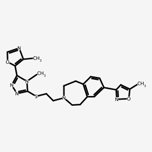 Cc1cc(-c2ccc3c(c2)CCN(CCSc2nnc(-c4ocnc4C)n2C)CC3)no1